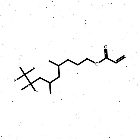 C=CC(=O)OCCCC(C)CC(C)CC(C)(F)C(F)(F)F